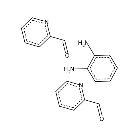 Nc1ccccc1N.O=Cc1ccccn1.O=Cc1ccccn1